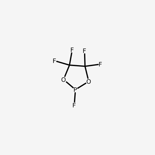 FP1OC(F)(F)C(F)(F)O1